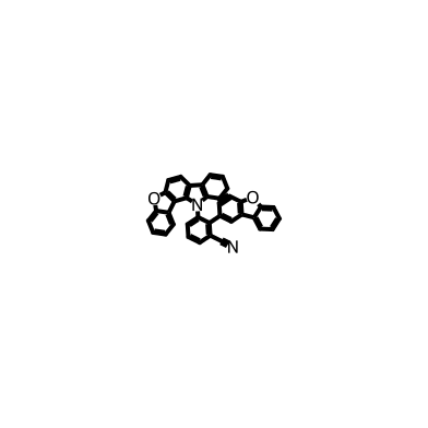 N#Cc1cccc(-n2c3c(c4ccc5oc6ccccc6c5c42)C=CCC3)c1-c1c#cc2oc3ccccc3c2c1